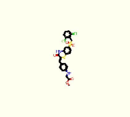 COC(=O)CNc1ccc(C=C2Sc3ccc(S(=O)(=O)Cc4c(Cl)cccc4Cl)cc3NC2=O)cc1